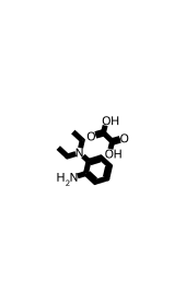 CCN(CC)c1ccccc1N.O=C(O)C(=O)O